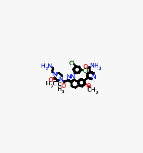 COc1cc2c(cc1-c1cncc(C(N)=O)c1)-c1c(c(C(=O)N3CCN(CCN)C(=O)C3(C)C)nn1-c1cc(Cl)cc(Cl)c1)CC2